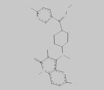 CN(c1c(C#N)c(=O)n(C)c2ccc(C#N)nc12)C1CCC(/C(=N/OC(C)(C)C)c2ccc(F)nc2)CC1